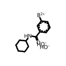 [B+2]c1cccc(C(=O)NC2CCCCC2)c1.[OH-].[OH-]